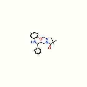 CCOc1ccccc1NC(CCNC(=O)C(C)(C)C)c1ccccc1